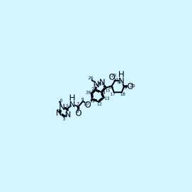 Cn1ncnc1NC(=O)COc1ccc2c(C3CCC(=O)NC3=O)nn(C)c2c1